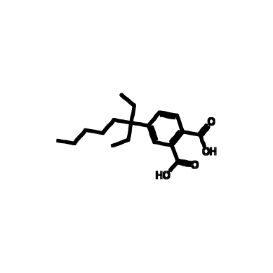 CCCCCC(CC)(CC)c1ccc(C(=O)O)c(C(=O)O)c1